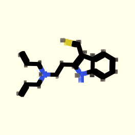 C=CCN(CC=C)CCc1[nH]c2ccccc2c1C=S